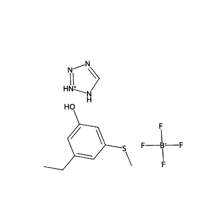 CCc1cc(O)cc(SC)c1.F[B-](F)(F)F.c1nn[nH+][nH]1